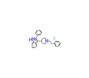 Fc1ccccc1CCN1CCC(c2c(-c3ccccc3)[nH]c3ccccc23)CC1